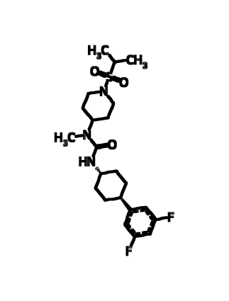 CC(C)S(=O)(=O)N1CCC(N(C)C(=O)N[C@H]2CC[C@H](c3cc(F)cc(F)c3)CC2)CC1